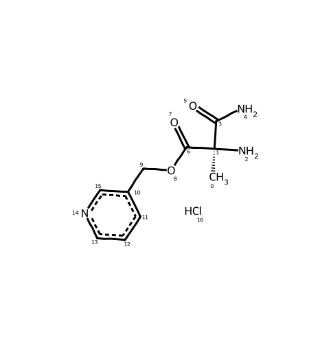 C[C@@](N)(C(N)=O)C(=O)OCc1cccnc1.Cl